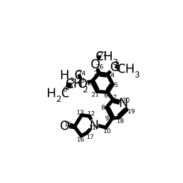 C=C.COc1cc(-c2cc(CN3CCC(=O)CC3)ccn2)cc(OC)c1OC